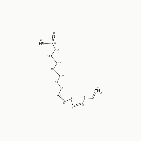 C=CC/C=C\C/C=C\CCCCCCCC(=O)S